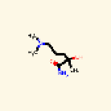 CN(C)CC[CH]C(C)(O)C(N)=O